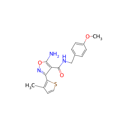 COc1ccc(CNC(=O)c2c(-c3sccc3C)noc2N)cc1